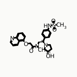 CN(C[C@@H](c1ccc(NS(C)(=O)=O)cc1)N1CC[C@H](O)C1)C(=O)COc1cccc2ncccc12